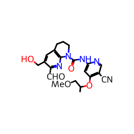 COCC(C)Oc1cc(NC(=O)N2CCCc3cc(CO)c(C=O)nc32)ncc1C#N